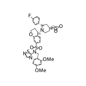 COc1ccc(CN(c2ncns2)S(=O)(=O)c2ccc3c(c2)OCC[C@@H]3N2CC[C@@H](C[SH](=O)=O)C[C@H]2c2ccc(F)cc2)c(OC)c1